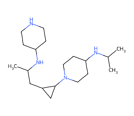 CC(C)NC1CCN(C2CC2CC(C)NC2CCNCC2)CC1